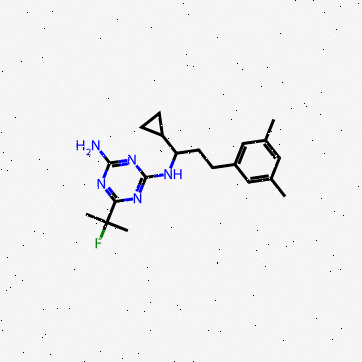 Cc1cc(C)cc(CCC(Nc2nc(N)nc(C(C)(C)F)n2)C2CC2)c1